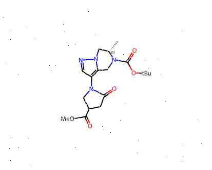 COC(=O)C1CC(=O)N(c2cnn3c2CN(C(=O)OC(C)(C)C)[C@@H](C)C3)C1